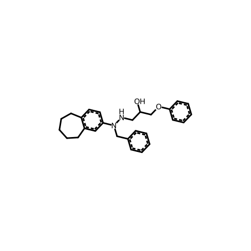 OC(CNN(Cc1ccccc1)c1ccc2c(c1)CCCCC2)COc1ccccc1